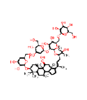 C[C@H](CC[C@@H](O[C@@H]1O[C@H](CO[C@H]2O[C@H](CO)[C@@H](O)[C@H](O)[C@H]2O)[C@@H](O)[C@H](O)[C@H]1O[C@@H]1O[C@H](CO)[C@@H](O)[C@H](O)[C@H]1O)C(C)(C)O)C1CC[C@@]2(C)C3CC=C4C(CC[C@H](O[C@@H]5O[C@H](CO)C[C@H](O)[C@H]5O)C4(C)C)[C@]3(C)C(=O)C[C@]12C